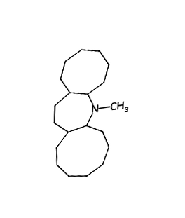 CN1C2CCCCCCCC2CCC2CCCCCCC21